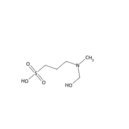 CN(CO)CCCS(=O)(=O)O